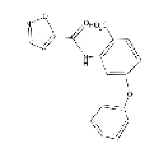 O=C(Nc1cc(Oc2ccccc2)ccc1C(=O)O)c1ccno1